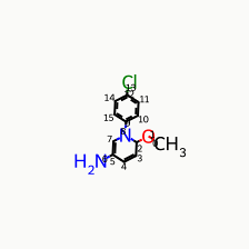 COC1C=CC(N)=CN1c1ccc(Cl)cc1